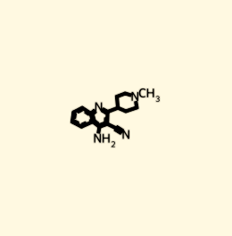 CN1CCC(c2nc3ccccc3c(N)c2C#N)CC1